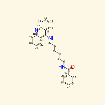 O=C(NCCCCCCNc1c2ccccc2nc2ccccc12)c1ccccc1